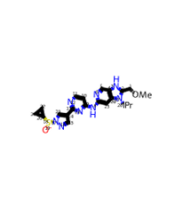 COCC1Nc2cnc(Nc3ccnc(-c4cnn([S+]([O-])C5CC5)c4)n3)cc2N1C(C)C